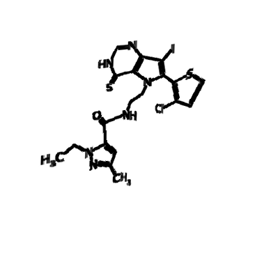 CCn1nc(C)cc1C(=O)NCCn1c(-c2sccc2Cl)c(I)c2nc[nH]c(=S)c21